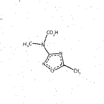 Cc1nc(N(C)C(=O)O)no1